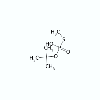 CSP(=O)(O)OC(C)(C)C